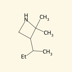 CCC(C)C1CNC1(C)C